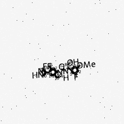 COc1cc(F)cc([C@@H](CO)NC(=O)N2CCc3cc(-c4c[nH]nc4F)c(F)cc32)c1